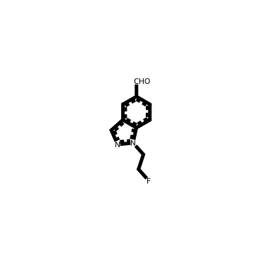 O=Cc1ccc2c(cnn2CCF)c1